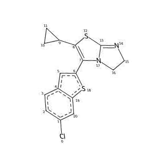 Clc1ccc2cc(C3=C(C4CC4)SC4=NCCN43)sc2c1